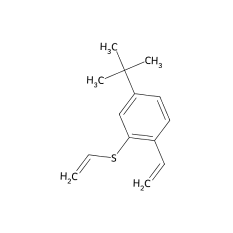 C=CSc1cc(C(C)(C)C)ccc1C=C